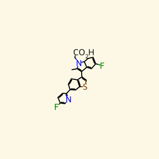 CC1=C(c2csc3cc(-c4ccc(F)cn4)ccc23)C2=CC(F)=CCC2N1CC(=O)O